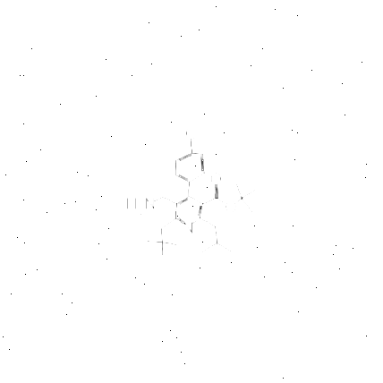 CC(C)Cc1nc(CC(C)(C)C)c(CN)c(-c2ccc(Cl)cc2)c1C(=O)OC(C)(C)C